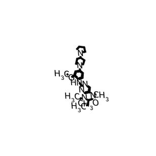 CCC1C(=O)N(C)c2cnc(Nc3ccc(N4CCC(N5CCCC5)CC4)cc3OC)nc2N1C(C)C